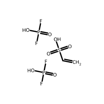 C=CS(=O)(=O)O.O=P(O)(F)F.O=P(O)(F)F